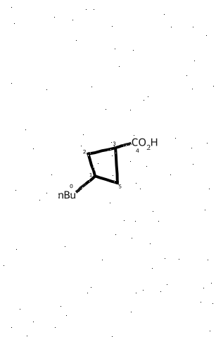 CCCCC1CC(C(=O)O)C1